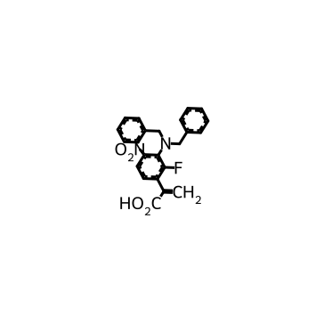 C=C(C(=O)O)c1ccc([N+](=O)[O-])c(N(Cc2ccccc2)Cc2ccccc2)c1F